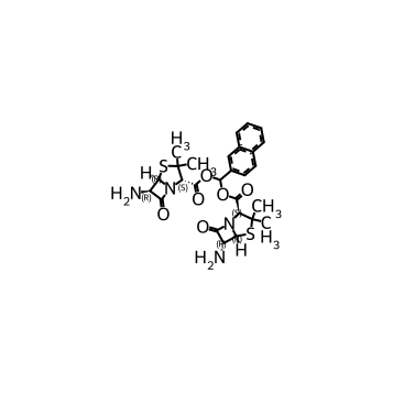 CC1(C)S[C@@H]2[C@H](N)C(=O)N2[C@H]1C(=O)OC(OC(=O)[C@@H]1N2C(=O)[C@@H](N)[C@H]2SC1(C)C)c1ccc2ccccc2c1